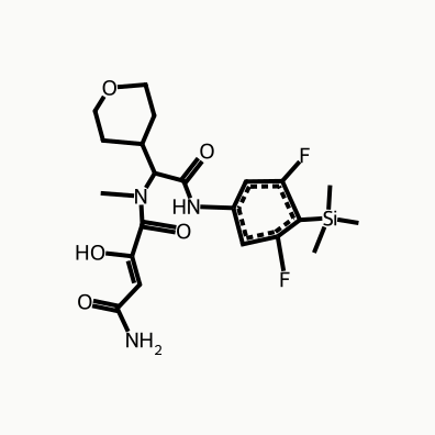 CN(C(=O)/C(O)=C/C(N)=O)C(C(=O)Nc1cc(F)c([Si](C)(C)C)c(F)c1)C1CCOCC1